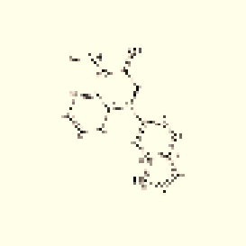 CNOC(=O)C[C@@H](c1ccc2cn[nH]c2c1)C1C=CC=CC1